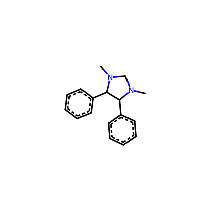 CN1CN(C)C(c2ccccc2)C1c1ccccc1